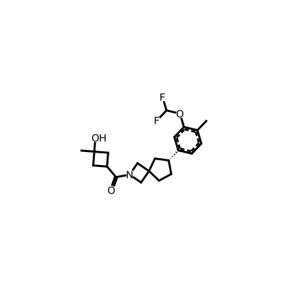 Cc1ccc([C@@H]2CCC3(C2)CN(C(=O)C2CC(C)(O)C2)C3)cc1OC(F)F